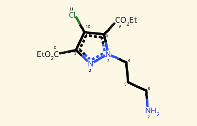 CCOC(=O)c1nn(CCCN)c(C(=O)OCC)c1Cl